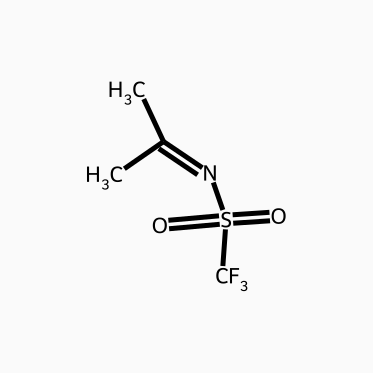 CC(C)=NS(=O)(=O)C(F)(F)F